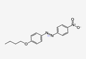 CCCCOc1ccc(/N=N/c2ccc([N+](=O)[O-])cc2)cc1